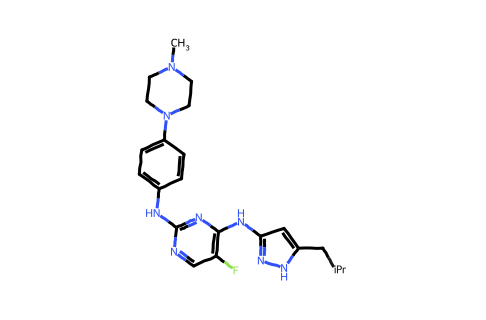 CC(C)Cc1cc(Nc2nc(Nc3ccc(N4CCN(C)CC4)cc3)ncc2F)n[nH]1